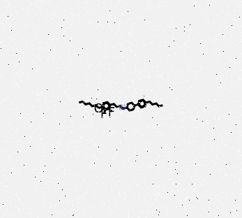 CCCCCCOc1ccc(CC/C=C/C2CCC(c3ccc(CCCCC)cc3)CC2)c(F)c1F